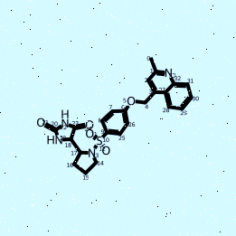 Cc1cc(COc2ccc(S(=O)(=O)N3CCCC3C3NC(=O)NC3=O)cc2)c2ccccc2n1